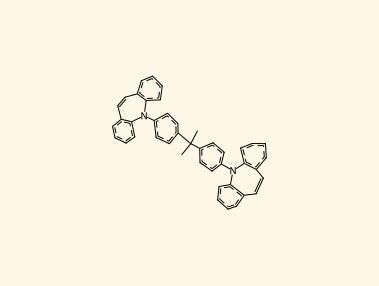 CC(C)(c1ccc(N2c3ccccc3C=Cc3ccccc32)cc1)c1ccc(N2c3ccccc3C=Cc3ccccc32)cc1